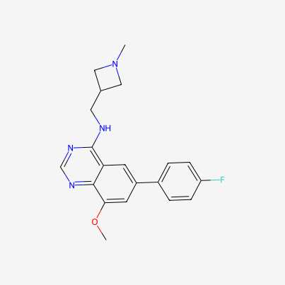 COc1cc(-c2ccc(F)cc2)cc2c(NCC3CN(C)C3)ncnc12